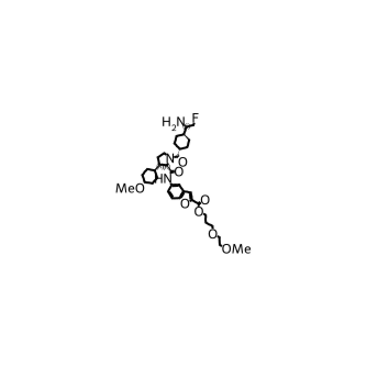 COCCOCCCOC(=O)c1cc2cc(NC(=O)[C@H]3[C@@H](C4CCC(OC)CC4)CCN3C(=O)[C@H]3CC[C@H]([C@H](N)CF)CC3)ccc2o1